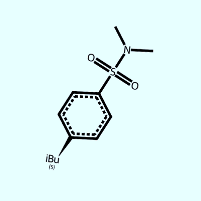 CC[C@H](C)c1ccc(S(=O)(=O)N(C)C)cc1